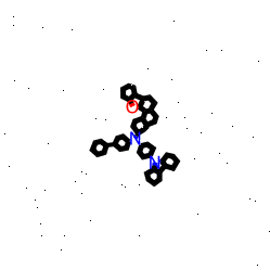 c1ccc(-c2ccc(N(c3ccc(-n4c5ccccc5c5ccccc54)cc3)c3ccc4c(ccc5ccc6c7ccccc7oc6c54)c3)cc2)cc1